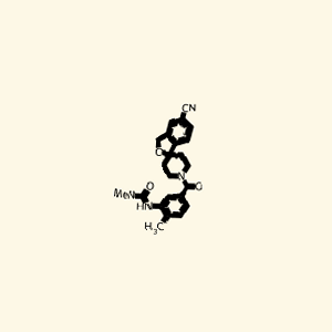 CNC(=O)Nc1cc(C(=O)N2CCC3(CC2)OCc2cc(C#N)ccc23)ccc1C